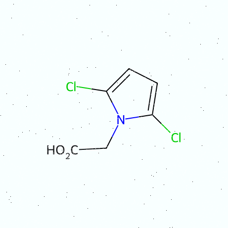 O=C(O)Cn1c(Cl)ccc1Cl